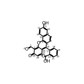 O=Cc1c2oc3c(ccc4cc(O)ccc43)c(-c3ccccc3C(=O)O)c-2ccc1=O